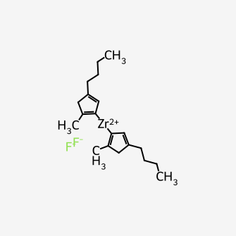 CCCCC1=C[C]([Zr+2][C]2=C(C)CC(CCCC)=C2)=C(C)C1.[F-].[F-]